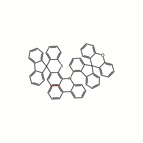 c1ccc(-c2ccccc2N(c2cccc3c2Sc2ccccc2C32c3ccccc3-c3ccccc32)c2cccc3c2-c2ccccc2C32c3ccccc3Oc3ccccc32)cc1